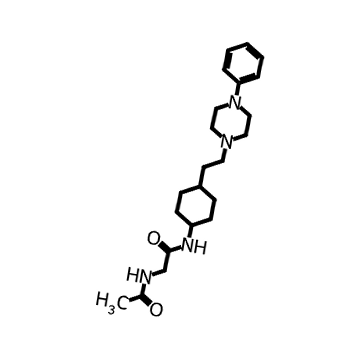 CC(=O)NCC(=O)NC1CCC(CCN2CCN(c3ccccc3)CC2)CC1